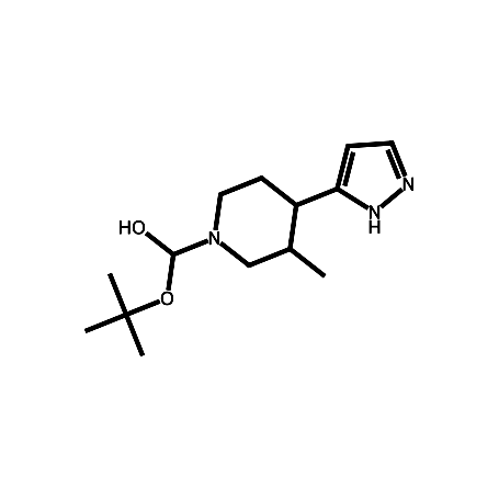 CC1CN(C(O)OC(C)(C)C)CCC1c1ccn[nH]1